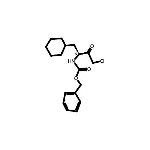 O=C(N[C@@H](CC1CCCCC1)C(=O)CCl)OCc1ccccc1